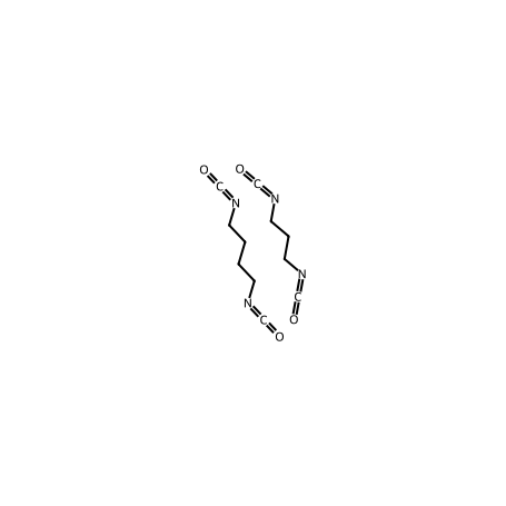 O=C=NCCCCN=C=O.O=C=NCCCN=C=O